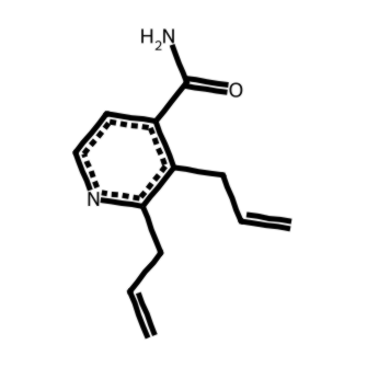 C=CCc1nccc(C(N)=O)c1CC=C